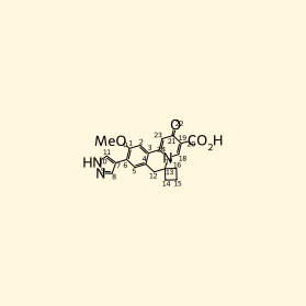 COc1cc2c(cc1-c1cn[nH]c1)CC1(CCC1)n1cc(C(=O)O)c(=O)cc1-2